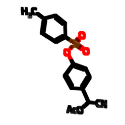 CC(=O)OC(C#N)c1ccc(OS(=O)(=O)c2ccc(C)cc2)cc1